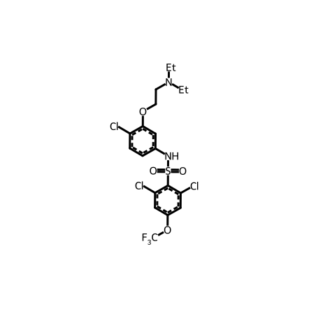 CCN(CC)CCOc1cc(NS(=O)(=O)c2c(Cl)cc(OC(F)(F)F)cc2Cl)ccc1Cl